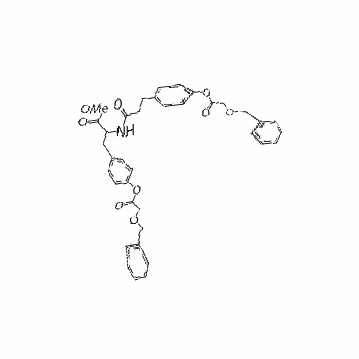 COC(=O)C(Cc1ccc(OC(=O)COCc2ccccc2)cc1)NC(=O)CCc1ccc(OC(=O)COCc2ccccc2)cc1